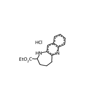 CCOC(=O)C1CCCc2nc3ccccc3cc2N1.Cl